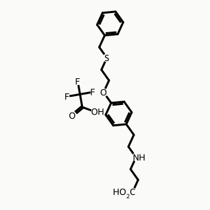 O=C(O)C(F)(F)F.O=C(O)CCNCCc1ccc(OCCSCc2ccccc2)cc1